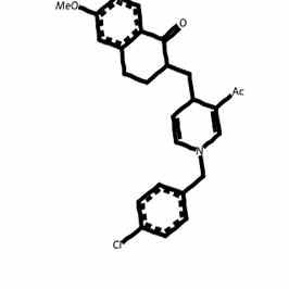 COc1ccc2c(c1)CCC(CC1C=CN(Cc3ccc(Cl)cc3)C=C1C(C)=O)C2=O